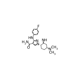 CN(C)[C@H]1CC[C@H](n2cc(C(N)=O)c(Nc3ccc(F)cc3)n2)C(=N)C1